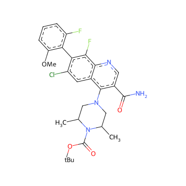 COc1cccc(F)c1-c1c(Cl)cc2c(N3CC(C)N(C(=O)OC(C)(C)C)C(C)C3)c(C(N)=O)cnc2c1F